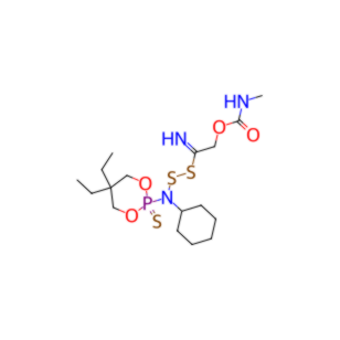 CCC1(CC)COP(=S)(N(SSC(=N)COC(=O)NC)C2CCCCC2)OC1